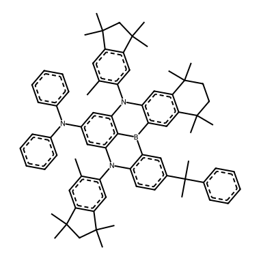 Cc1cc2c(cc1N1c3ccc(C(C)(C)c4ccccc4)cc3B3c4cc5c(cc4N(c4cc6c(cc4C)C(C)(C)CC6(C)C)c4cc(N(c6ccccc6)c6ccccc6)cc1c43)C(C)(C)CCC5(C)C)C(C)(C)CC2(C)C